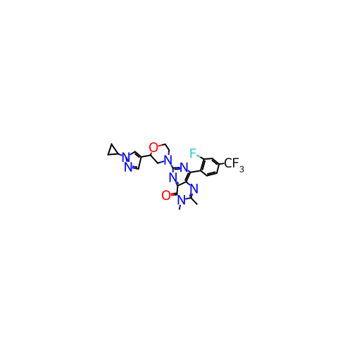 Cc1nc2c(-c3ccc(C(F)(F)F)cc3F)nc(N3CCOC(c4cnn(C5CC5)c4)C3)nc2c(=O)n1C